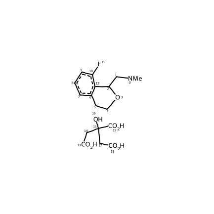 CNCC1OCCc2cccc(F)c21.O=C(O)CC(O)(CC(=O)O)C(=O)O